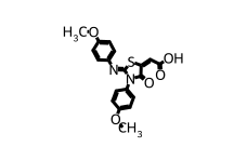 COc1ccc(N=C2SC(=CC(=O)O)C(=O)N2c2ccc(OC)cc2)cc1